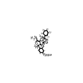 [2H]C1(c2ccc(OC)cc2)OC(N)=C(OS(=O)(=O)C([2H])([2H])c2ccccc2)C1=O